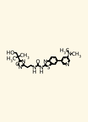 CN(C)c1cncc(-c2ccc3nc(NC(=O)NCCc4noc(C(C)(C)CO)n4)sc3c2)c1